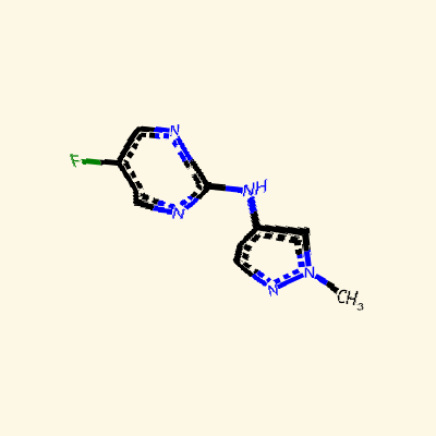 Cn1cc(Nc2ncc(F)cn2)cn1